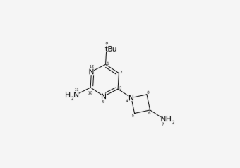 CC(C)(C)c1cc(N2CC(N)C2)nc(N)n1